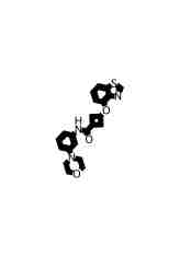 O=C(Nc1cccc(N2CCOCC2)c1)C1CC(Oc2cccc3scnc23)C1